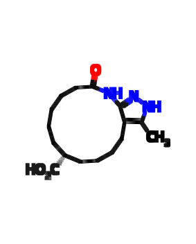 Cc1[nH]nc2c1CCCC[C@H](C(=O)O)CCCCCC(=O)N2